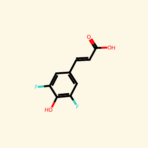 O=C(O)C=Cc1cc(F)c(O)c(F)c1